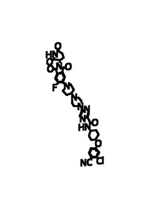 N#Cc1ccc(O[C@H]2CC[C@H](NC(=O)c3cnc(N4CCN(C5CCN(c6cc7c(cc6F)C(=O)N(C6CCC(=O)NC6=O)C7=O)CC5)CC4)cn3)CC2)cc1Cl